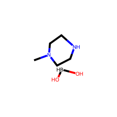 CN1CCNCC1.OBO